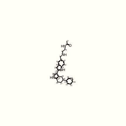 CC(=O)NCCNCc1ccc2[nH]c(-c3n[nH]c4c3CC(c3cccnc3)CC4)cc2c1